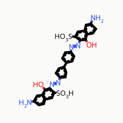 Nc1ccc2c(O)c(/N=N/c3ccc(-c4ccc(/N=N/c5c(S(=O)(=O)O)cc6ccc(N)cc6c5O)cc4)cc3)c(S(=O)(=O)O)cc2c1